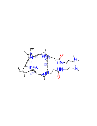 C=CC1=C(C)/C2=C/c3[nH]c(c(CCC(=O)NCCCN(C)C)c3C)/C=C3\NC(/C=c4\[nH]/c(c(C)c4C=C)=C\C1N2)C(C)=C3CCC(=O)NCCCN(C)C